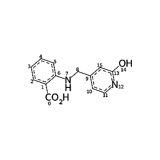 O=C(O)c1ccccc1NCc1ccnc(O)c1